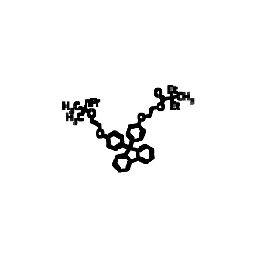 CCCC(C)(C)OCCOc1ccc(C2(c3ccc(OCCOC(=O)C(C)(CC)CC)cc3)c3ccccc3-c3ccccc32)cc1